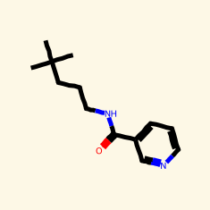 CC(C)(C)CCCNC(=O)c1cccnc1